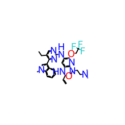 C=CC(=O)Nc1cc(Nc2ncc(CC)c(-c3cn(C)c4ccccc34)n2)c(OCC(F)(F)F)nc1N(C)CCN(C)C